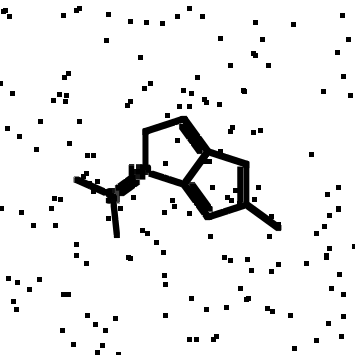 CC1=CC2=CC[PH](=[Si](C)C)C2=C1